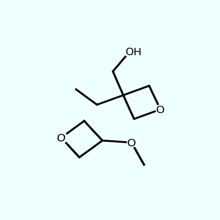 CCC1(CO)COC1.COC1COC1